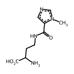 Cn1cncc1C(=O)NCCC(N)C(=O)O